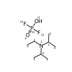 CCN(C(C)C)C(C)C.O=P(O)(F)F